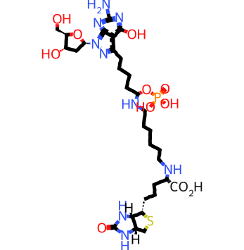 Nc1nc(O)c2c(CCCCC(NCCCCCCNC(CCC[C@@H]3SC[C@@H]4NC(=O)N[C@@H]43)C(=O)O)OP(=O)(O)O)nn([C@@H]3C[C@H](O)[C@@H](CO)O3)c2n1